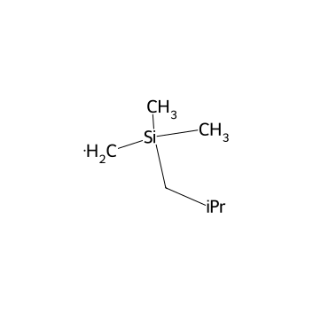 [CH2][Si](C)(C)CC(C)C